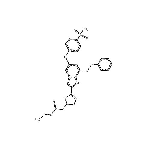 CCOC(=O)CC1CN=C(c2cc3cc(Oc4ccc(S(C)(=O)=O)cc4)cc(OCc4ccccc4)c3[nH]2)S1